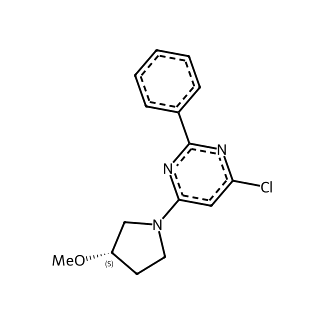 CO[C@H]1CCN(c2cc(Cl)nc(-c3ccccc3)n2)C1